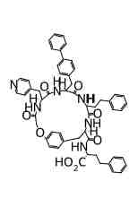 O=C1COc2ccc(cc2)C[C@H](C(=O)N[C@H](CCc2ccccc2)C(=O)O)NC(=O)[C@H](CCc2ccccc2)NC(=O)[C@@H](Cc2ccc(-c3ccccc3)cc2)NC(=O)[C@H](Cc2ccncc2)N1